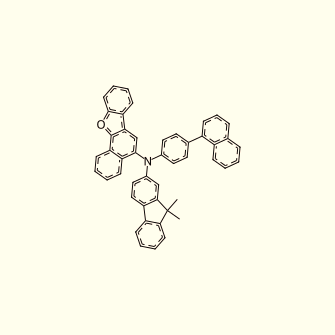 CC1(C)c2ccccc2-c2ccc(N(c3ccc(-c4cccc5ccccc45)cc3)c3cc4c5ccccc5oc4c4ccccc34)cc21